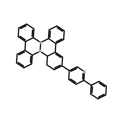 C1=C(c2ccc(-c3ccccc3)nc2)C=C2c3ccccc3B3c4ccccc4-c4ccccc4N3C2C1